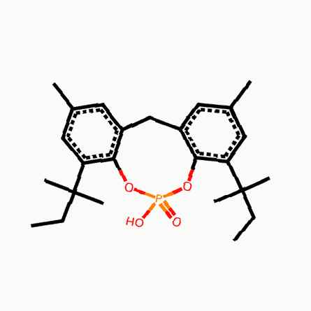 CCC(C)(C)c1cc(C)cc2c1OP(=O)(O)Oc1c(cc(C)cc1C(C)(C)CC)C2